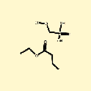 CCCC(=O)OCC.CCOCP(=O)(O)O